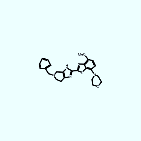 COc1ccc(N2CCOCC2)c2sc(-c3nc4c([nH]3)CN(Cc3ccccc3)CC4)nc12